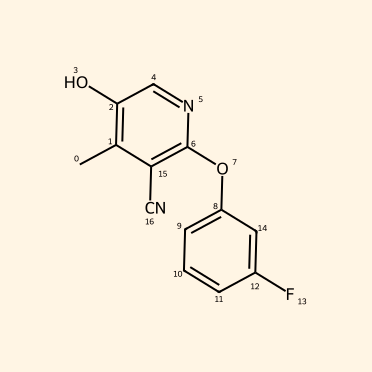 Cc1c(O)cnc(Oc2cccc(F)c2)c1C#N